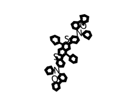 c1ccc(-c2c3cc4sc5cc(N(c6ccccc6)c6cccc7c6oc6ccccc67)ccc5c4c(-c4ccccc4)c3cc3c2sc2cc(N(c4ccccc4)c4cccc5c4oc4ccccc45)ccc23)cc1